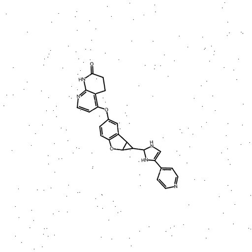 O=C1CCc2c(Oc3ccc4c(c3)C3C(O4)C3C3NC=C(c4ccncc4)N3)ccnc2N1